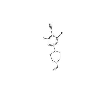 C=CC1CCC(c2cc(F)c(C#N)c(F)c2)CC1